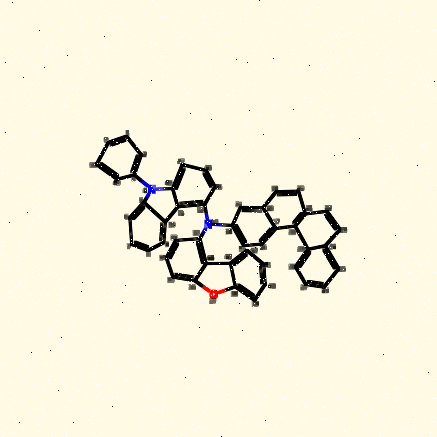 c1ccc(-n2c3ccccc3c3c(N(c4ccc5c(ccc6ccc7ccccc7c65)c4)c4cccc5oc6ccccc6c45)cccc32)cc1